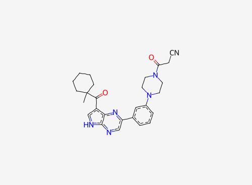 CC1(C(=O)c2c[nH]c3ncc(-c4cccc(N5CCN(C(=O)CC#N)CC5)c4)nc23)CCCCC1